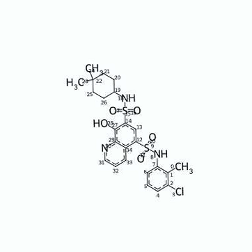 Cc1c(Cl)cccc1NS(=O)(=O)c1cc(S(=O)(=O)NC2CCC(C)(C)CC2)c(O)c2ncccc12